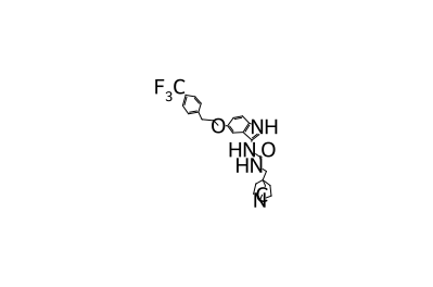 O=C(NCC12CCN(CC1)CC2)Nc1c[nH]c2ccc(OCCc3ccc(C(F)(F)F)cc3)cc12